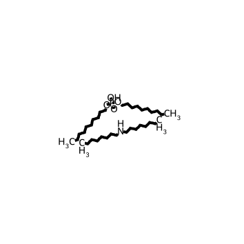 CCCCCCCCCCOP(=O)(O)OCCCCCCCCCC.CCCCCCCCNCCCCCCCC